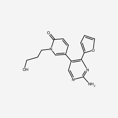 Nc1ncc(-c2ccc(=O)n(CCCO)c2)c(-c2ccco2)n1